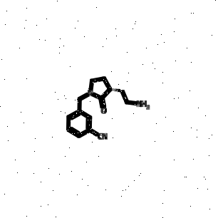 N#Cc1cccc(CN2CC[C@H](CCN)C2=O)c1